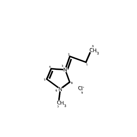 CCC=[N+]1C=CN(C)C1.[Cl-]